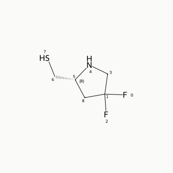 FC1(F)CN[C@@H](CS)C1